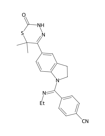 CCN=C(c1ccc(C#N)cc1)N1CCc2cc(C3=NNC(=O)SC3(C)C)ccc21